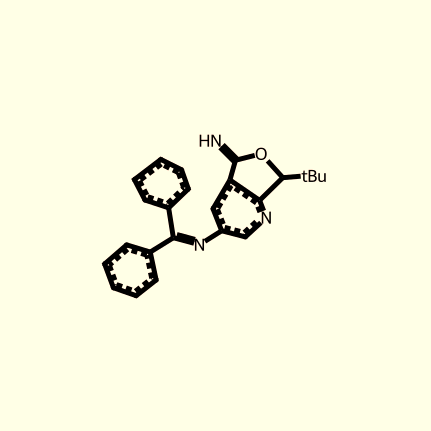 CC(C)(C)C1OC(=N)c2cc(N=C(c3ccccc3)c3ccccc3)cnc21